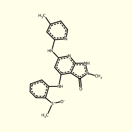 Cc1ccnc(Nc2cc(Nc3ccccc3[S+](C)[O-])c3c(=O)n(C)[nH]c3n2)c1